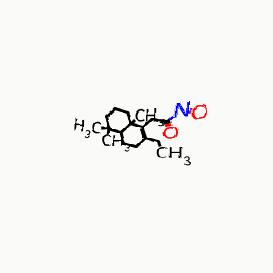 CCC1=C(CC(=O)N=O)C2(C)CCCC(C)(C)C2CC1